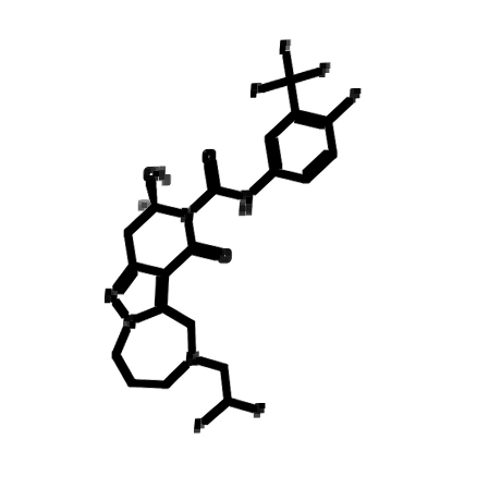 C[C@@H]1Cc2nn3c(c2C(=O)N1C(=O)Nc1ccc(F)c(C(F)(F)F)c1)CN(CC(F)F)CCC3